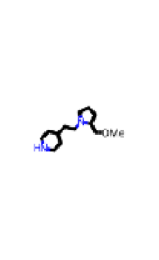 COCC1CCCN1CCC1CCNCC1